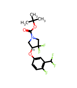 CC(C)(C)OC(=O)N1C[C@H](Oc2ccc(F)c(C(F)F)c2)C(F)(F)C1